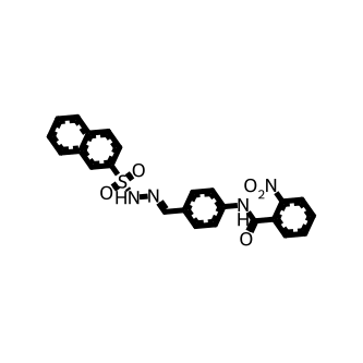 O=C(Nc1ccc(/C=N/NS(=O)(=O)c2ccc3ccccc3c2)cc1)c1ccccc1[N+](=O)[O-]